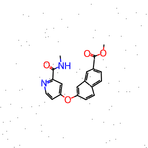 CNC(=O)c1cc(Oc2ccc3ccc(C(=O)OC)cc3c2)ccn1